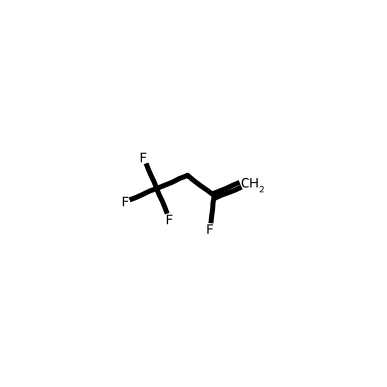 C=C(F)CC(F)(F)F